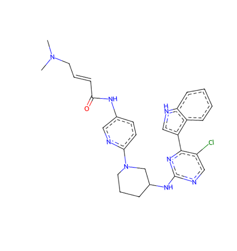 CN(C)C/C=C/C(=O)Nc1ccc(N2CCCC(Nc3ncc(Cl)c(-c4c[nH]c5ccccc45)n3)C2)nc1